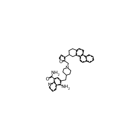 NC(=O)c1cc(CC2CCN(Cc3occc3C3CCc4ccc5c(ccc6ccccc65)c4C3)CC2)c(N)c2cccnc12